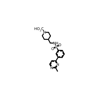 Cc1nccc(-c2cccc(S(=O)(=O)NCC3CCN(C(=O)O)CC3)c2)n1